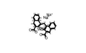 O=C([O-])c1cc2ccccc2c(Cc2c(O)c(C(=O)[O-])cc3ccccc23)c1O.[Na+].[Na+]